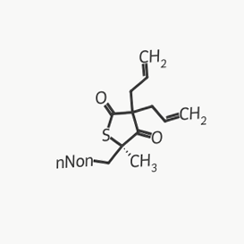 C=CCC1(CC=C)C(=O)S[C@](C)(CCCCCCCCCC)C1=O